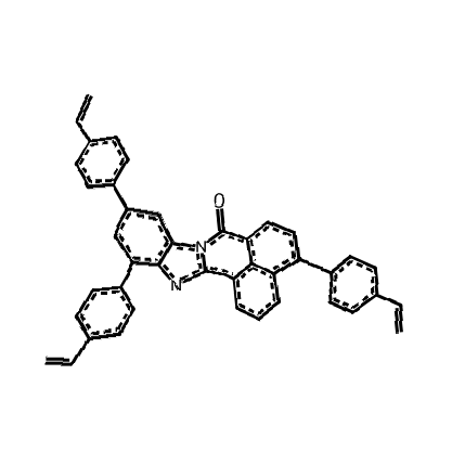 C=Cc1ccc(-c2cc(-c3ccc(C=C)cc3)c3nc4c5cccc6c(-c7ccc(C=C)cc7)ccc(c(=O)n4c3c2)c65)cc1